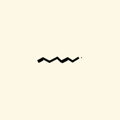 [CH2]CC=CCCC=C